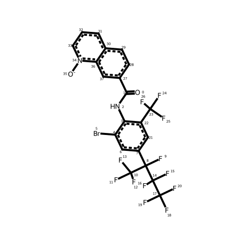 O=C(Nc1c(Br)cc(C(F)(C(F)(F)F)C(F)(F)C(F)(F)F)cc1C(F)(F)F)c1ccc2ccc[n+]([O-])c2c1